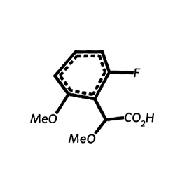 COc1cccc(F)c1C(OC)C(=O)O